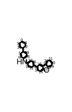 C1=CCC(c2ccc(Nc3ccc(-c4ccc5oc6ccccc6c5c4)cc3)cc2)C=C1